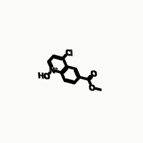 COC(=O)c1ccc2c(c1)c(Cl)cc[n+]2O